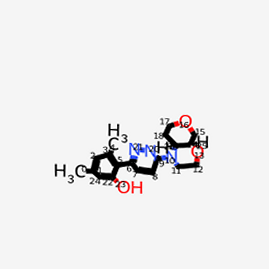 Cc1cc(C)c(-c2ccc(N3CCO[C@H]4COCC[C@@H]43)nn2)c(O)c1